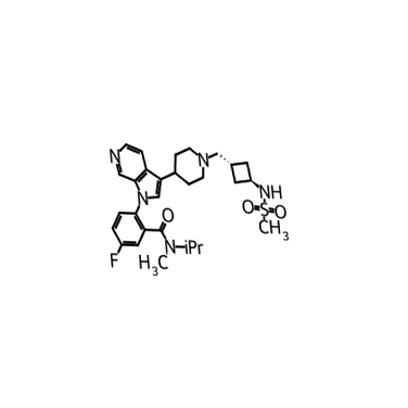 CC(C)N(C)C(=O)c1cc(F)ccc1-n1cc(C2CCN(C[C@H]3C[C@H](NS(C)(=O)=O)C3)CC2)c2ccncc21